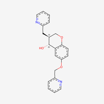 O[C@H]1c2cc(OCc3ccccn3)ccc2OC[C@@H]1Cc1ccccn1